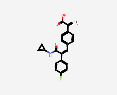 C=C(C(=O)O)c1ccc(C=C(C(=O)NC2CC2)c2ccc(F)cc2)cc1